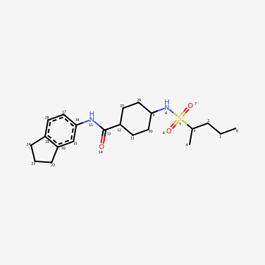 CCCC(C)S(=O)(=O)NC1CCC(C(=O)Nc2ccc3c(c2)CCC3)CC1